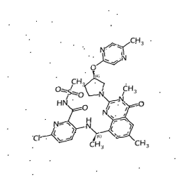 Cc1cc([C@@H](C)Nc2ccc(Cl)nc2C(=O)NS(C)(=O)=O)c2nc(N3CC[C@@H](Oc4cnc(C)cn4)C3)n(C)c(=O)c2c1